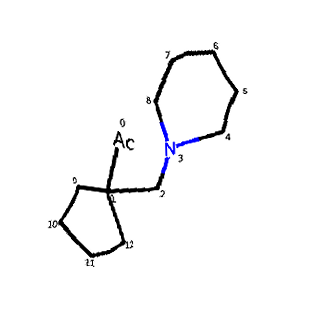 CC(=O)C1(CN2CCCCC2)CCCC1